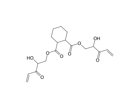 C=CC(=O)C(O)COC(=O)C1CCCCC1C(=O)OCC(O)C(=O)C=C